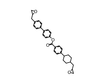 O=C(Oc1ccc(-c2ccc(CC3CO3)cc2)cc1)c1ccc(C2CCC(CC3CO3)CC2)cc1